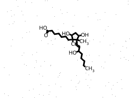 CCCCCC(O)C=CC1(C)C(O)CC(O)C1(C)CCCCCCC(=O)O